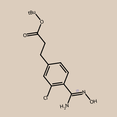 CC(C)(C)OC(=O)CCc1ccc(/C(N)=N/O)c(Cl)c1